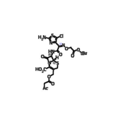 CC(=O)CC(=O)OCC1=C(C(=O)O)N2C(=O)[C@@H](NC(=O)/C(=N\OCC(=O)OC(C)(C)C)c3nc(N)sc3Cl)[C@@H]2SC1